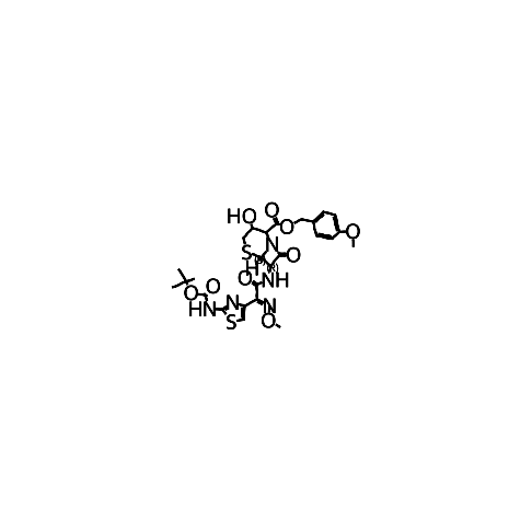 CON=C(C(=O)N[C@@H]1C(=O)N2C(C(=O)OCc3ccc(OC)cc3)C(O)CS[C@@H]12)c1csc(NC(=O)OC(C)(C)C)n1